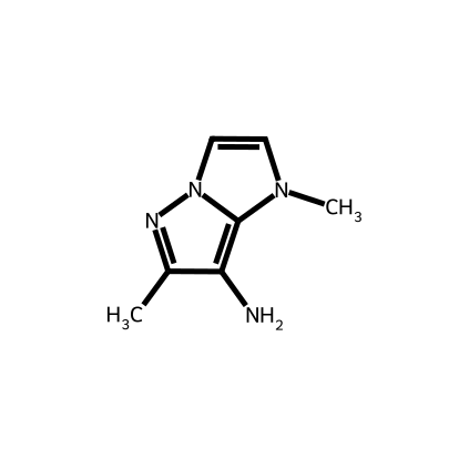 Cc1nn2ccn(C)c2c1N